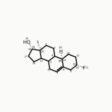 C[C@]12CCC3C(CC=C4C[C@@H](F)CC[C@@H]43)C1CC[C@@H]2O